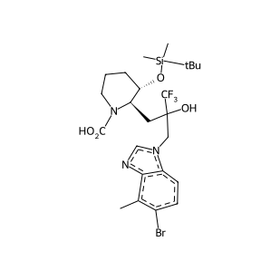 Cc1c(Br)ccc2c1ncn2CC(O)(C[C@@H]1[C@@H](O[Si](C)(C)C(C)(C)C)CCCN1C(=O)O)C(F)(F)F